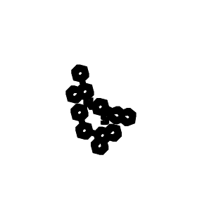 c1ccc(-c2ccc(N(c3cccc(-c4cccc(-c5cc6ccccc6c6ccccc56)c4)c3)c3ccc4c(c3)sc3cc5ccccc5cc34)c3ccccc23)cc1